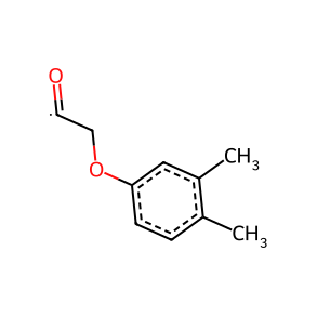 Cc1ccc(OC[C]=O)cc1C